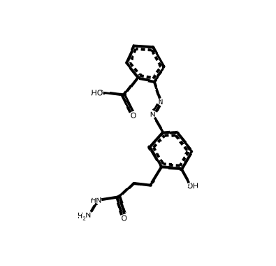 NNC(=O)CCc1cc(N=Nc2ccccc2C(=O)O)ccc1O